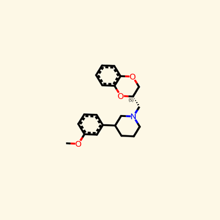 COc1cccc(C2CCCN(C[C@H]3COc4ccccc4O3)C2)c1